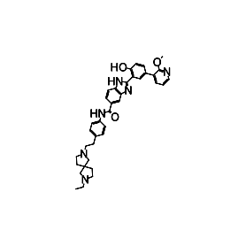 CCN1CCC2(CCN(CCc3ccc(NC(=O)c4ccc5[nH]c(-c6cc(-c7cccnc7OC)ccc6O)nc5c4)cc3)C2)C1